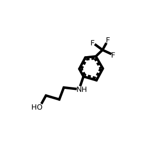 OCCCNc1ccc(C(F)(F)F)cc1